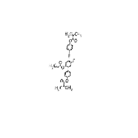 C=CC(=O)Oc1cc(C#Cc2ccc(OC(=O)C(=C)C)cc2)c(F)cc1-c1ccc(OC(=O)C(=C)C)cc1